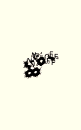 [Na+].[O-]N(c1cccc(OC(F)(F)C(F)F)c1)c1nccc(-c2cccc3ccccc23)n1